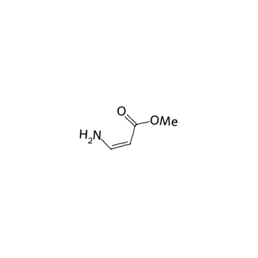 COC(=O)/C=C\N